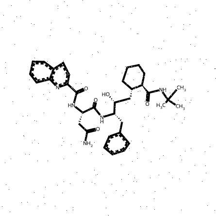 CC(C)(C)NC(=O)[C@@H]1CCCC[C@H]1C[C@@H](O)[C@H](Cc1ccccc1)NC(=O)[C@H](CC(N)=O)NC(=O)c1ccc2ccccc2n1